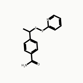 CC(SSc1ccccn1)c1ccc(C(N)=O)cc1